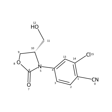 N#Cc1ccc(N2C(=O)OC[C@@H]2CO)cc1Cl